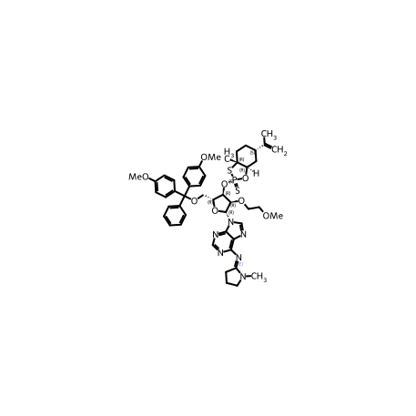 C=C(C)[C@H]1CC[C@@]2(C)S[P@@](=S)(O[C@H]3[C@@H](OCCOC)[C@H](n4cnc5c(/N=C6\CCCN6C)ncnc54)O[C@@H]3COC(c3ccccc3)(c3ccc(OC)cc3)c3ccc(OC)cc3)O[C@@H]2C1